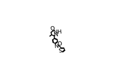 CC1CC(=O)NN=C1c1ccc2nc(-c3cccs3)oc2c1